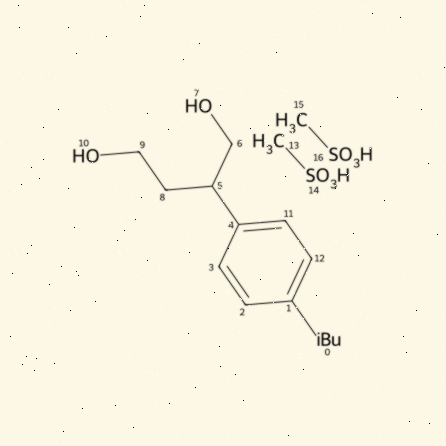 CCC(C)c1ccc(C(CO)CCO)cc1.CS(=O)(=O)O.CS(=O)(=O)O